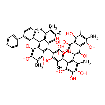 Bc1c(O)c(-c2c3c(O)c(B)c(B)c(B)c3c(-c3cccc(-c4ccccc4)c3)c3c(O)c(O)c(B)c(O)c23)c(O)c(O)c1-c1c(O)c(O)c(O)c(B)c1-c1c(O)c(O)c2c(O)c(C)c(B)c(O)c2c1O